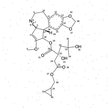 COC1=CC23CCCN2CCc2cc4c(cc2[C@@H]3C1OC(=O)[C@](O)(CC(=O)OCC1CC1)CC(C)(C)O)OCO4